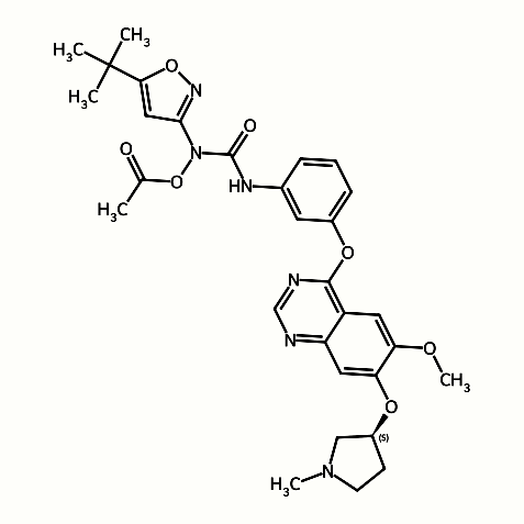 COc1cc2c(Oc3cccc(NC(=O)N(OC(C)=O)c4cc(C(C)(C)C)on4)c3)ncnc2cc1O[C@H]1CCN(C)C1